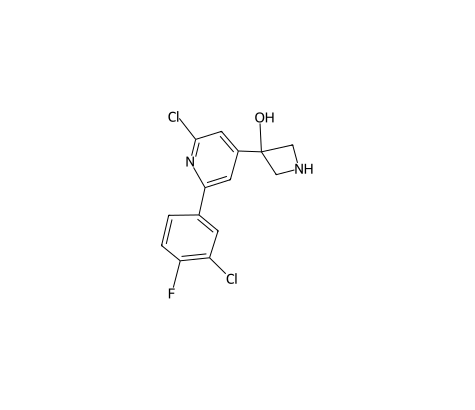 OC1(c2cc(Cl)nc(-c3ccc(F)c(Cl)c3)c2)CNC1